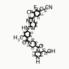 Cc1cc(Nc2nccn3c(-c4ccc(OCC#N)c(F)c4Cl)cnc23)ccc1C(=O)N1CCC(C(=O)N2CCNCC2CCO)CC1